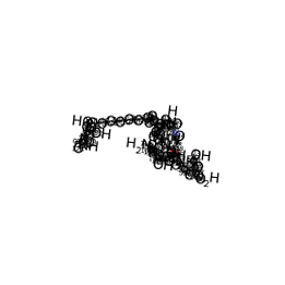 Cc1cn([C@H]2C[C@@H](OP(=O)(O)OCCOCCOCCOCCOCCOCCOP(=O)(O)OC[C@H]3O[C@@H](n4cc(/C=C/C(=O)NCCCCCCNC(=O)c5ccc(C(=O)O)c(-c6c7ccc(=O)cc-7oc7cc(O)ccc67)c5)c(=O)[nH]c4=O)C[C@H]3OP(=O)(O)OCCOCCOCCOP(=O)(O)OC[C@H]3O[C@@H](n4ccc(N)nc4=O)C[C@H]3O)[C@@H](CO)O2)c(=O)[nH]c1=O